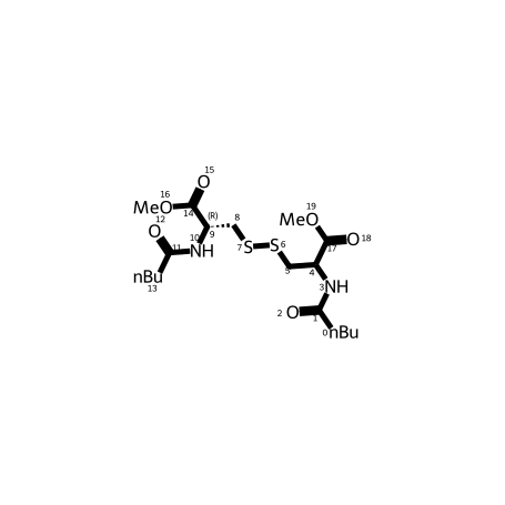 CCCCC(=O)NC(CSSC[C@H](NC(=O)CCCC)C(=O)OC)C(=O)OC